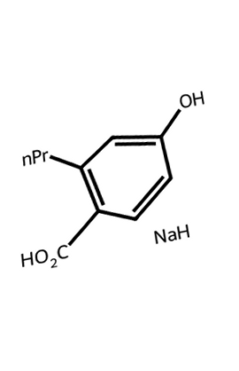 CCCc1cc(O)ccc1C(=O)O.[NaH]